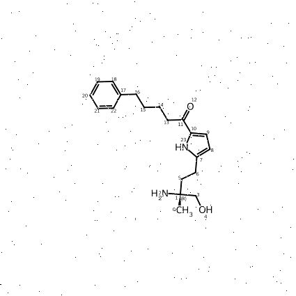 C[C@](N)(CO)CCc1ccc(C(=O)CCCCc2ccccc2)[nH]1